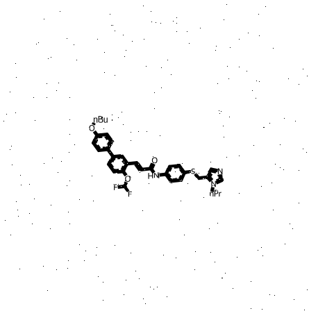 CCCCOc1ccc(-c2ccc(OC(F)F)c(/C=C/C(=O)Nc3ccc(SCc4cncn4CCC)cc3)c2)cc1